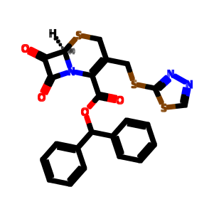 O=C(OC(c1ccccc1)c1ccccc1)C1=C(CSc2nncs2)CS[C@@H]2C(=O)C(=O)N12